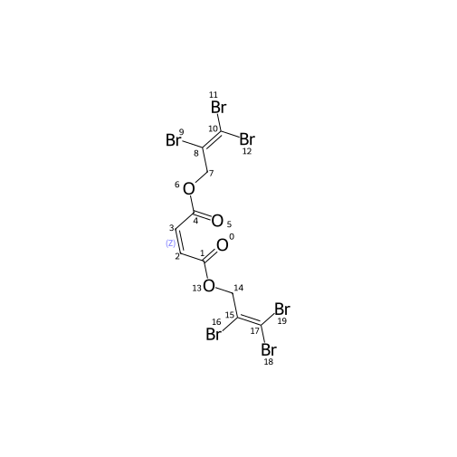 O=C(/C=C\C(=O)OCC(Br)=C(Br)Br)OCC(Br)=C(Br)Br